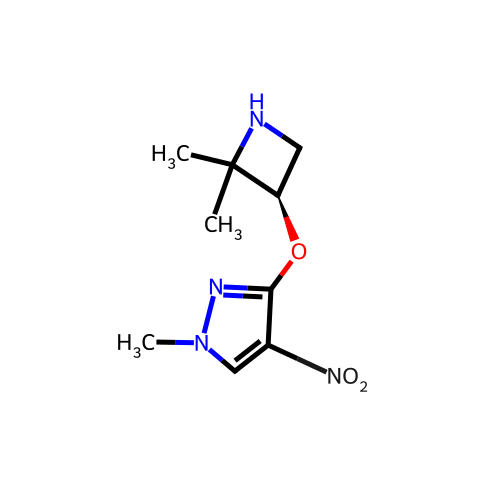 Cn1cc([N+](=O)[O-])c(O[C@@H]2CNC2(C)C)n1